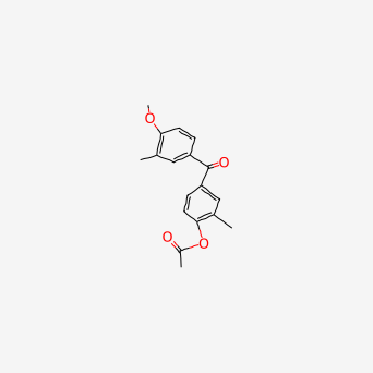 COc1ccc(C(=O)c2ccc(OC(C)=O)c(C)c2)cc1C